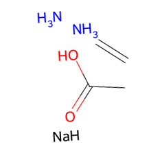 C=C.CC(=O)O.N.N.[NaH]